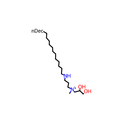 CCCCCCCCCCCCCCCCCCCCCCNCCC[N+](C)(C)CC(O)CO